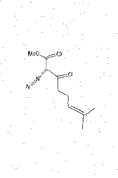 COC(=O)C(=[N+]=[N-])C(=O)CCC=C(C)C